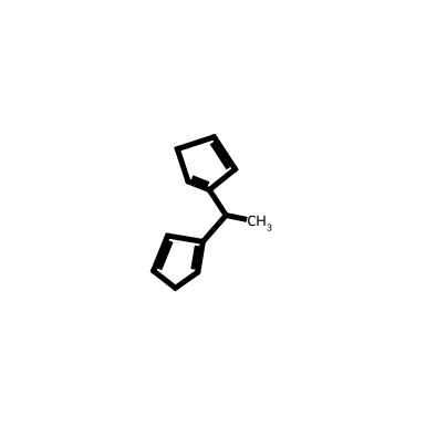 C[C](C1=CCC=C1)C1=CCC=C1